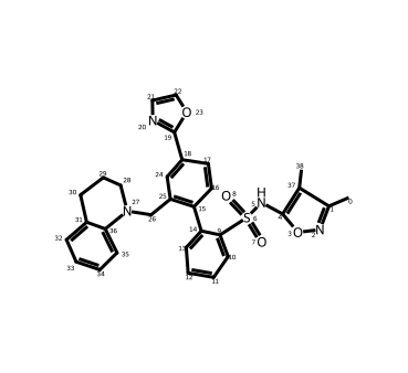 Cc1noc(NS(=O)(=O)c2ccccc2-c2ccc(-c3ncco3)cc2CN2CCCc3ccccc32)c1C